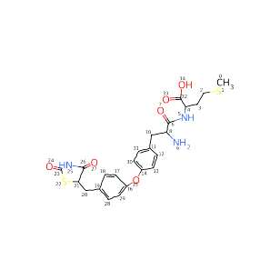 CSCCC(NC(=O)C(N)Cc1ccc(Oc2ccc(CC3SC(=O)NC3=O)cc2)cc1)C(=O)O